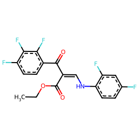 CCOC(=O)C(=CNc1ccc(F)cc1F)C(=O)c1ccc(F)c(F)c1F